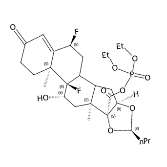 CCC[C@@H]1O[C@@H]2CC3C4C[C@H](F)C5=CC(=O)CC[C@]5(C)[C@@]4(F)[C@@H](O)C[C@]3(C)[C@]2(C(=O)OP(=O)(OCC)OCC)O1